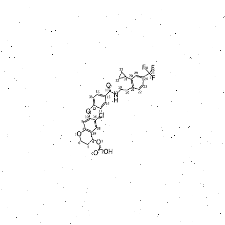 O=C(O)OC1CCOc2cc(Oc3ccc(C(=O)NCCc4ccc(C(F)(F)F)cc4C4CC4)cc3)c(Cl)cc21